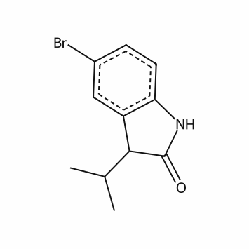 CC(C)C1C(=O)Nc2ccc(Br)cc21